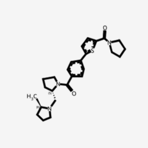 C[C@@H]1CCCN1C[C@@H]1CCCN1C(=O)c1ccc(-c2ccc(C(=O)N3CCCC3)s2)cc1